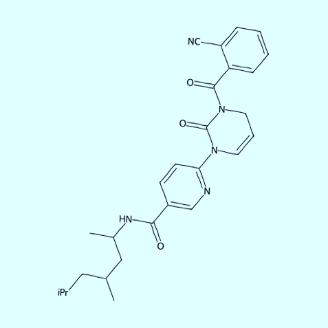 CC(C)CC(C)CC(C)NC(=O)c1ccc(N2C=CCN(C(=O)c3ccccc3C#N)C2=O)nc1